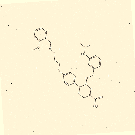 COc1ccccc1COCCCOc1ccc(C2CCN(C(=O)O)CC2OCc2cccc(NC(C)C)c2)cc1